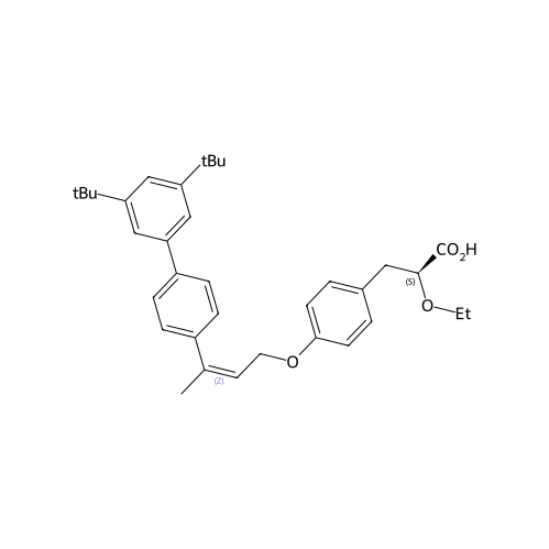 CCO[C@@H](Cc1ccc(OC/C=C(/C)c2ccc(-c3cc(C(C)(C)C)cc(C(C)(C)C)c3)cc2)cc1)C(=O)O